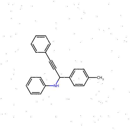 Cc1ccc(C(C#Cc2ccccc2)Nc2ccccc2)cc1